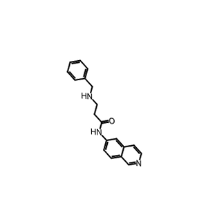 O=C(CCNCc1ccccc1)Nc1ccc2cnccc2c1